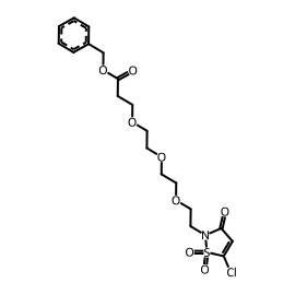 O=C(CCOCCOCCOCCN1C(=O)C=C(Cl)S1(=O)=O)OCc1ccccc1